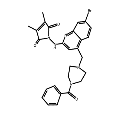 CC1=C(C)C(=O)N(Nc2cc(CN3CCN(C(=O)c4ccccc4)CC3)c3ccc(Br)cc3n2)C1=O